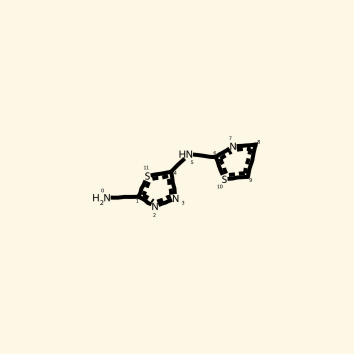 Nc1nnc(Nc2nccs2)s1